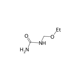 CCOCNC(N)=O